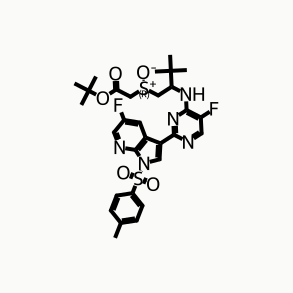 Cc1ccc(S(=O)(=O)n2cc(-c3ncc(F)c(NC(C[S@+]([O-])CC(=O)OC(C)(C)C)C(C)(C)C)n3)c3cc(F)cnc32)cc1